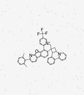 Cc1cccc(C)c1-c1ccc2c(n1)oc1c3c(ccc12)C1(CC2C1c1ccccc1-c1cccc[n+]12)C[n+]1cc(C(F)(F)F)ccc1-3